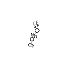 FC(F)(F)Sc1cccc(-c2nc3ccc(-c4ccco4)cc3o2)c1